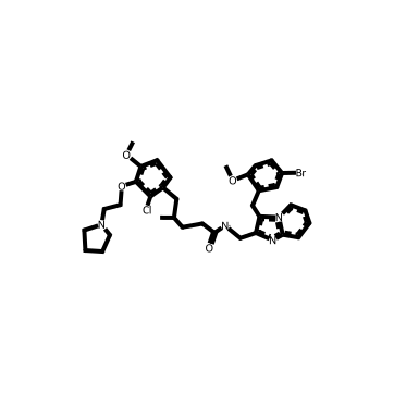 COc1ccc(Br)cc1Cc1c(C[N]C(=O)CCC(C)Cc2ccc(OC)c(OCCN3CCCC3)c2Cl)nc2ccccn12